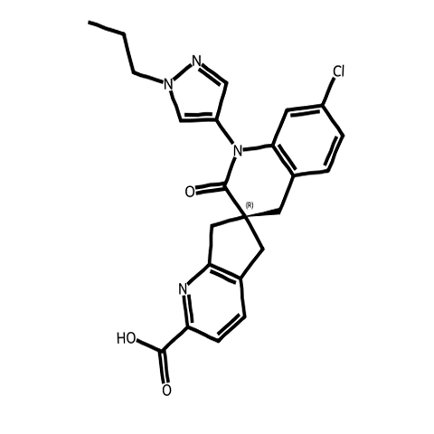 CCCn1cc(N2C(=O)[C@]3(Cc4ccc(Cl)cc42)Cc2ccc(C(=O)O)nc2C3)cn1